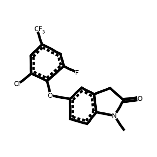 CN1C(=O)Cc2cc(Oc3c(F)cc(C(F)(F)F)cc3Cl)ccc21